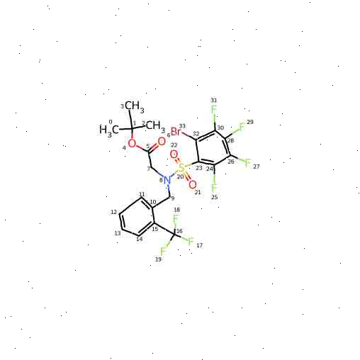 CC(C)(C)OC(=O)CN(Cc1ccccc1C(F)(F)F)S(=O)(=O)c1c(F)c(F)c(F)c(F)c1Br